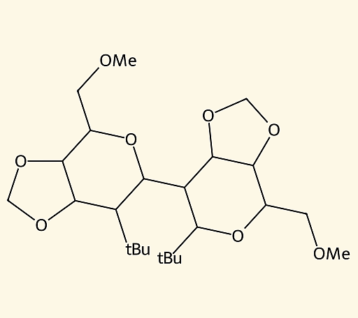 COCC1OC(C(C)(C)C)C(C2OC(COC)C3OCOC3C2C(C)(C)C)C2OCOC12